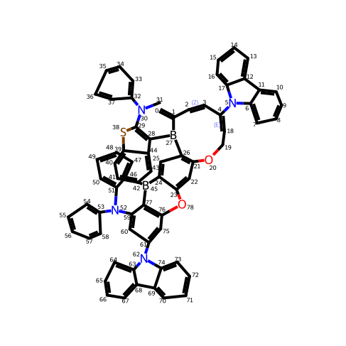 C=C1/C=C\C(n2c3ccccc3c3ccccc32)=C/COc2cc3c(cc2B1c1c(N(C)c2ccccc2)sc2ccccc12)B1c2ccccc2N(c2ccccc2)c2cc(-n4c5ccccc5c5ccccc54)cc(c21)O3